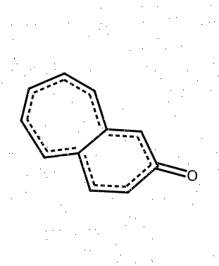 O=c1ccc2cccccc-2c1